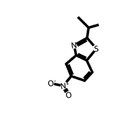 CC(C)c1nc2cc([N+](=O)[O-])ccc2s1